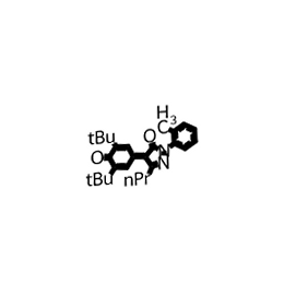 CCCC1=NN(c2ccccc2C)C(=O)C1=C1C=C(C(C)(C)C)C(=O)C(C(C)(C)C)=C1